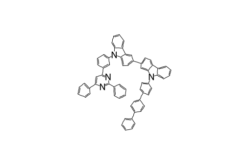 c1ccc(-c2ccc(-c3ccc(-n4c5ccccc5c5ccc(-c6ccc7c(c6)c6ccccc6n7-c6cccc(-c7cc(-c8ccccc8)nc(-c8ccccc8)n7)c6)cc54)cc3)cc2)cc1